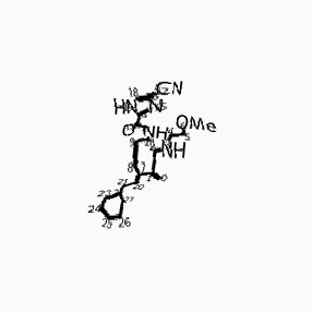 C=C(CNCCOC)C(/C=C\CNC(=O)c1nc(C#N)c[nH]1)=C/CC1=CCCCC1